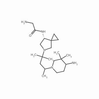 CC(CC(C)(C)N1C[C@H](NC(=O)CN)C2(CC2)C1)N1CCC(N)C(C)(C)C1